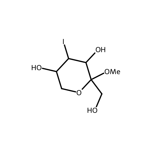 COC1(CO)OCC(O)C(I)C1O